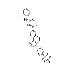 C=[N+](NC(=S)Nc1c(C)cccc1C)c1ccc2c(ccc3c2ncn3-c2ccc(C(F)(F)C(F)(F)F)cc2)c1